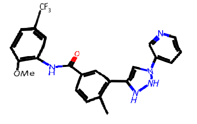 COc1ccc(C(F)(F)F)cc1NC(=O)c1ccc(C)c(C2=CN(c3cccnc3)NN2)c1